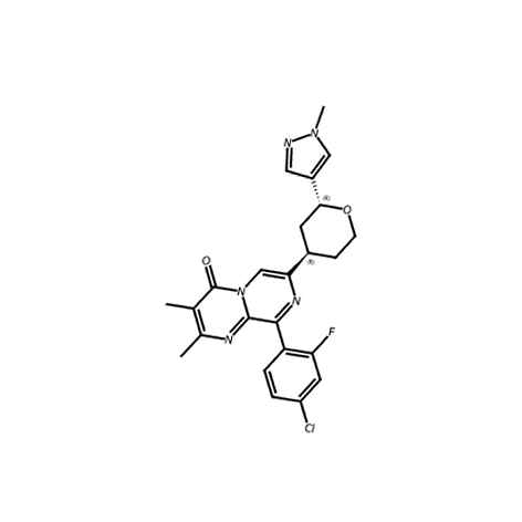 Cc1nc2c(-c3ccc(Cl)cc3F)nc([C@@H]3CCO[C@@H](c4cnn(C)c4)C3)cn2c(=O)c1C